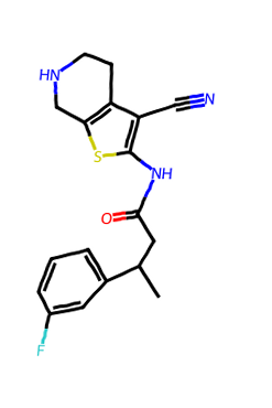 CC(CC(=O)Nc1sc2c(c1C#N)CCNC2)c1cccc(F)c1